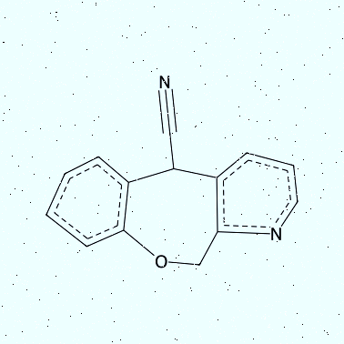 N#CC1c2ccccc2OCc2ncccc21